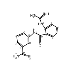 N=C(N)Nc1ccccc1C(=O)Nc1cccc(C(=N)N)c1